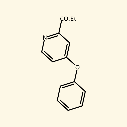 CCOC(=O)c1cc(Oc2ccccc2)ccn1